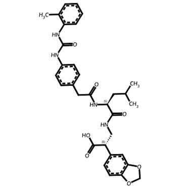 Cc1ccccc1NC(=O)Nc1ccc(CC(=O)N[C@@H](CC(C)C)C(=O)NC[C@@H](C(=O)O)c2ccc3c(c2)OCO3)cc1